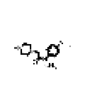 CN(C(=O)CN1CCNCC1)c1ccc(N)cc1